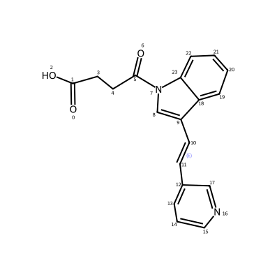 O=C(O)CCC(=O)n1cc(/C=C/c2cccnc2)c2ccccc21